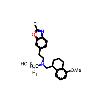 COc1cccc2c1CCCC2CN(C)CCc1ccc2nc(C)oc2c1.CS(=O)(=O)O